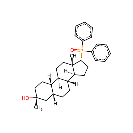 C[C@@]1(O)CC[C@H]2[C@H](CC[C@@H]3[C@@H]2CC[C@@]2(C)[C@H]3CC[C@@H]2P(=O)(c2ccccc2)c2ccccc2)C1